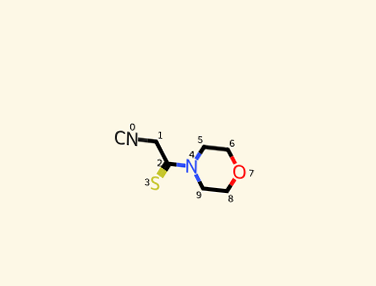 [C-]#[N+]CC(=S)N1CCOCC1